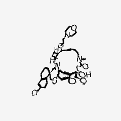 COC(=O)[C@@]1(O)CC(=O)N(C)CC/C=C/[C@H](OCCN2CCOCC2)[C@@H]2CC[C@H]2CN2C[C@@]3(CCCc4cc(Cl)ccc43)COc3ccc1cc32